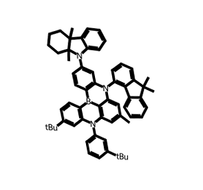 Cc1cc2c3c(c1)N(c1cccc4c1-c1ccccc1C4(C)C)c1cc(N4c5ccccc5C5(C)CCCCC45C)ccc1B3c1ccc(C(C)(C)C)cc1N2c1cccc(C(C)(C)C)c1